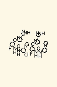 O=C(Nc1cc(Cl)cc(N2CCCC2)c1)Nc1cc(Oc2cccc(-c3cn[nH]c3)n2)ccc1F.O=C(Nc1cccc(N2CCCC2)c1)Nc1cc(Oc2cccc(-c3cn[nH]c3)n2)ccc1F